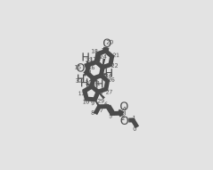 CCOC(=O)/C=C/C(C)[C@H]1CC[C@H]2[C@@H]3[C@@H]4O[C@@H]4C4=CC(=O)CC[C@]4(C)[C@H]3CC[C@]12C